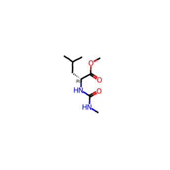 CNC(=O)N[C@H](CC(C)C)C(=O)OC